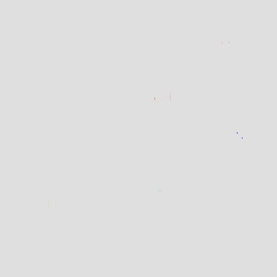 OC(c1ccc(S)cc1F)c1cccnc1-c1ccoc1